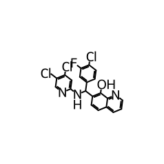 Oc1c(C(Nc2cc(Cl)c(Cl)cn2)c2ccc(Cl)c(F)c2)ccc2cccnc12